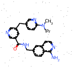 CC(C)N(C)c1ccc(Cc2cncc(C(=O)NCc3ccc4c(N)nccc4c3)c2)cn1